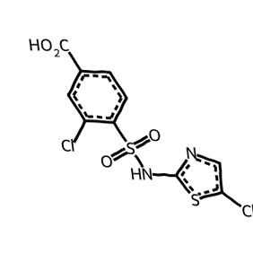 O=C(O)c1ccc(S(=O)(=O)Nc2ncc(Cl)s2)c(Cl)c1